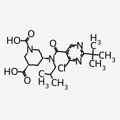 CC(C)CN(C(=O)c1cnc(C(C)(C)C)nc1Cl)[C@H]1C[C@@H](C(=O)O)CN(C(=O)O)C1